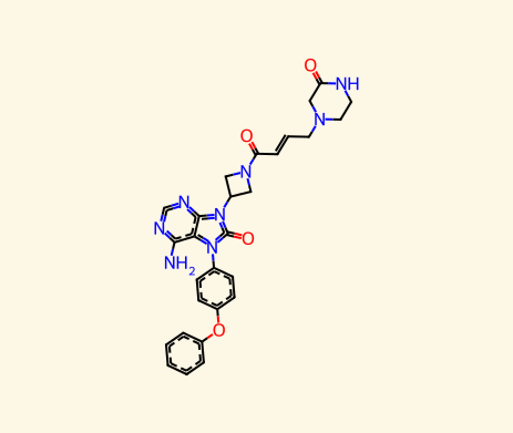 Nc1ncnc2c1n(-c1ccc(Oc3ccccc3)cc1)c(=O)n2C1CN(C(=O)C=CCN2CCNC(=O)C2)C1